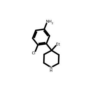 CCC1(c2cc(N)ccc2Cl)CCNCC1